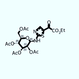 CCOC(=O)C(=O)c1cnc(N[C@@H]2O[C@H](COC(C)=O)[C@@H](OC(C)=O)[C@H](OC(C)=O)[C@@H]2OC(C)=O)s1